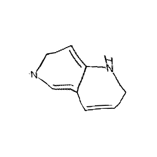 C1=CC2=C[N]CC=C2NC1